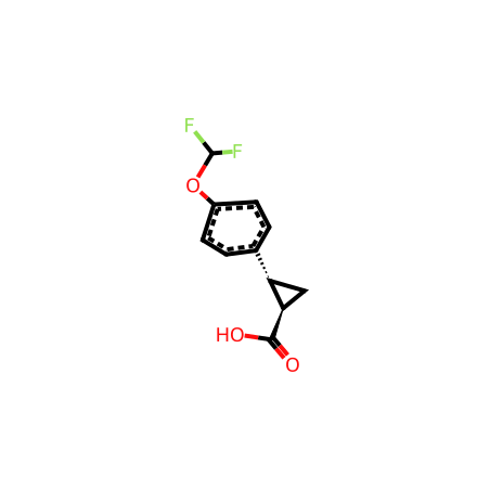 O=C(O)[C@@H]1C[C@H]1c1ccc(OC(F)F)cc1